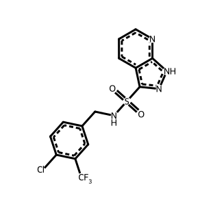 O=S(=O)(NCc1ccc(Cl)c(C(F)(F)F)c1)c1n[nH]c2ncccc12